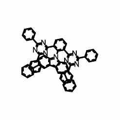 c1ccc(-c2ccc3c(c2)c2cc(-c4ccccc4)ccc2n3-c2c(-c3nc(-c4ccccc4)nc(-c4ccccc4)n3)cccc2-c2nc(-c3ccccc3)nc(-c3ccccc3)n2)cc1